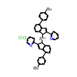 CCC(C)c1ccc(-c2cccc3c2C=C(c2ccccn2)[CH]3[Zr+2][CH]2C(c3ccccn3)=Cc3c(-c4ccc(C(C)CC)cc4)cccc32)cc1.[Cl-].[Cl-]